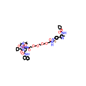 Cc1ncc(-c2ccc3nc(NC(=O)CCOCCOCCOCCOCCC(=O)N[C@H]4C[C@@H](C(=O)N[C@@H]5CCCc6ccccc65)N(C(=O)[C@@H](NC(=O)[C@H](C)N(C)C(=O)OC(C)(C)C)C5CCCCC5)C4)sc3c2)cc1NC(=O)OC1CCCCC1